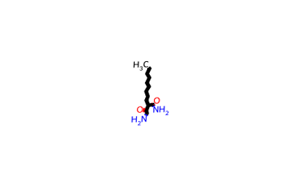 CCCCCCCCCC(C(N)=O)C(=O)CN